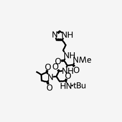 CNC(=O)C(NC(=O)C(CC(=O)NC(C)(C)C)N1C(=O)CC(C)C1=O)C(=O)NCCc1cnc[nH]1